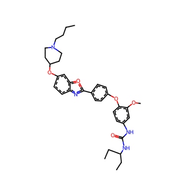 CCCCN1CCC(Oc2ccc3nc(-c4ccc(Oc5ccc(NC(=O)NC(CC)CC)cc5OC)cc4)oc3c2)CC1